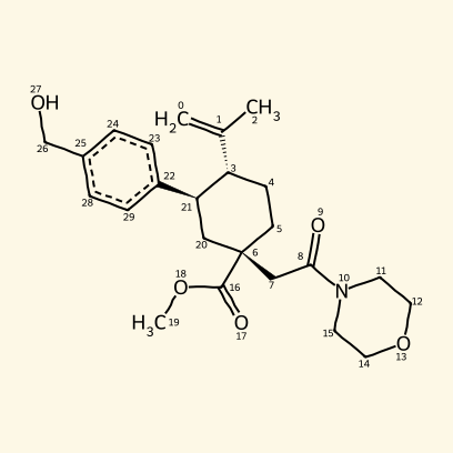 C=C(C)[C@@H]1CC[C@](CC(=O)N2CCOCC2)(C(=O)OC)C[C@H]1c1ccc(CO)cc1